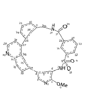 COc1ncc2cc1NS(=O)(=O)c1cccc(c1)C(=O)NCc1cccc(c1)-c1ccnc3ccc-2cc13